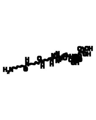 NCCCCCC(=O)NCCCCCC(=O)NCCCNc1ncnc2c1ncn2[C@H]1CC[C@@H](COP(=O)(O)OP(=O)(O)OC[C@H]2OC[C@H](O)[C@@H]2O)O1